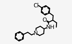 CCC(Cc1ccc(Cl)cc1)C(=O)NC1CCN(CCc2ccccc2)CC1